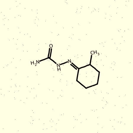 CC1CCCCC1=NNC(N)=O